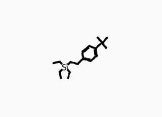 CC[Si](CC)(CC)CCc1ccc(C(C)(C)C)cc1